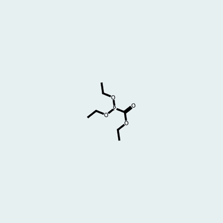 CCOC(=O)P(OCC)OCC